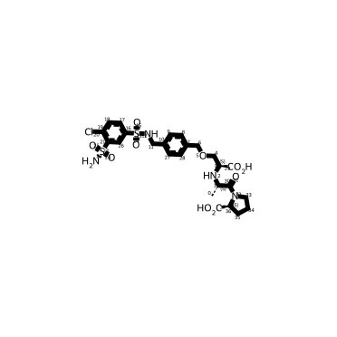 C[C@H](N[C@@H](COCc1ccc(CNS(=O)(=O)c2ccc(Cl)c(S(N)(=O)=O)c2)cc1)C(=O)O)C(=O)N1CCC[C@H]1C(=O)O